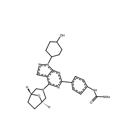 CNC(=O)Nc1ccc(-c2nc(N3C[C@H]4CC[C@H](C3)O4)c3cnn(C4CCC(O)CC4)c3n2)cc1